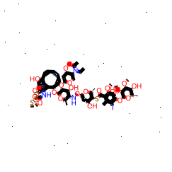 CCN(C(C)=O)[C@H]1CO[C@@H](O[C@H]2[C@H](O[C@H]3C#C/C=C\C#C[C@]4(O)CC(=O)C(NC(=O)OC)=C3/C4=C\CSSSC)O[C@H](C)[C@@H](NO[C@H]3C[C@H](O)[C@H](SC(=O)c4c(C)c(I)c(O[C@@H]5O[C@@H](C)[C@H](O)[C@@H](OC)[C@H]5O)c(OC)c4OC)[C@@H](C)O3)[C@@H]2O)C[C@@H]1OC